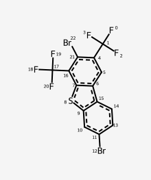 FC(F)(F)c1cc2c(sc3cc(Br)ccc32)c(C(F)(F)F)c1Br